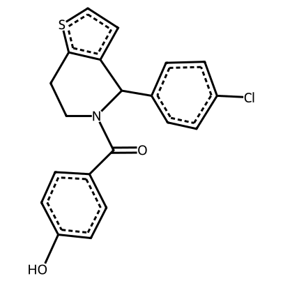 O=C(c1ccc(O)cc1)N1CCc2sccc2C1c1ccc(Cl)cc1